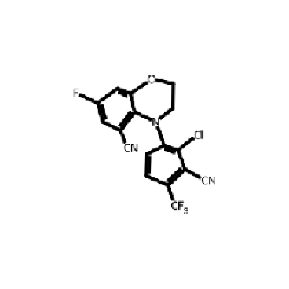 N#Cc1cc(F)cc2c1N(c1ccc(C(F)(F)F)c(C#N)c1Cl)CCO2